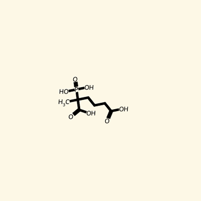 CC(CCCC(=O)O)(C(=O)O)P(=O)(O)O